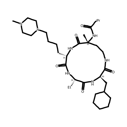 CC[C@@H]1NC(=O)[C@H](CCCCN2CCN(C)CC2)NC(=O)[C@](C)(NC(=O)C(C)C)CCNC(=O)[C@@H](CC2CCCCC2)NC1=O